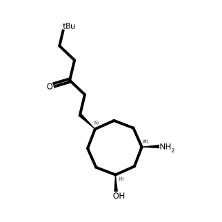 CC(C)(C)CCC(=O)CC[C@H]1CC[C@@H](N)C[C@@H](O)CC1